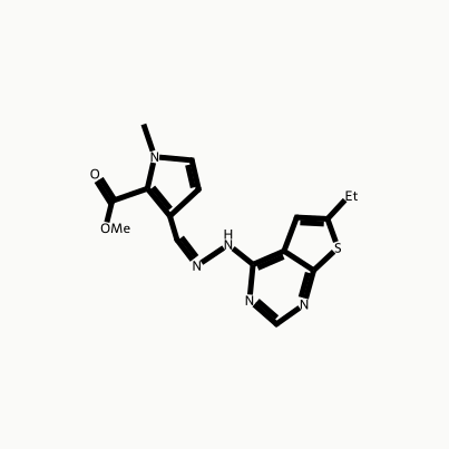 CCc1cc2c(N/N=C\c3ccn(C)c3C(=O)OC)ncnc2s1